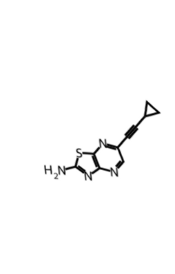 Nc1nc2ncc(C#CC3CC3)nc2s1